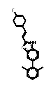 Cc1cccc(C)c1-c1ccc2[nH]c(/C=C/C3CC=C(F)CC3)nc2c1